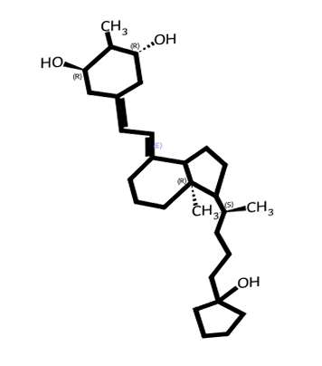 CC1[C@H](O)CC(=C/C=C2\CCC[C@@]3(C)C2CCC3[C@@H](C)CCCC2(O)CCCC2)C[C@H]1O